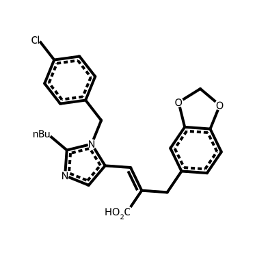 CCCCc1ncc(C=C(Cc2ccc3c(c2)OCO3)C(=O)O)n1Cc1ccc(Cl)cc1